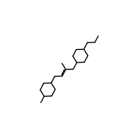 CCCC1CCC(C/C(C)=C/CC2CCC(C)CC2)CC1